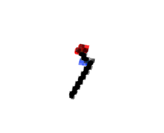 CCCCCCCCCCCCCC(C)NCCCCS(=O)(=O)O